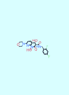 O=C(NCc1ccc(F)cc1F)c1c(O)c2ccc(N3CCOCC3)nc2n(O)c1=O